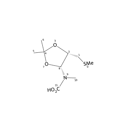 CSC[C@H]1OC(C)(C)O[C@H]1N(C)C(=O)O